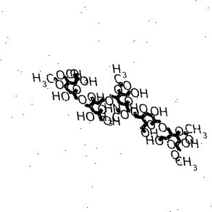 CCC1C(C(=O)O)OC(COCC2C(O)C(CO)OC(COCC3C(NC(C)=O)C(COCC4C(CO)OC(COCC5C(CO)OC(COC)C(O)C5OC(C)=O)C(O)C4O)OC(CO)C3OC(C)=O)C2O)C(O)C1OC(C)=O